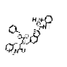 NC(=O)[C@H](Cc1ccccc1)N(Cc1ccc2cc(C(=O)Nc3ccccc3N)sc2c1)C(=O)OCc1ccccc1